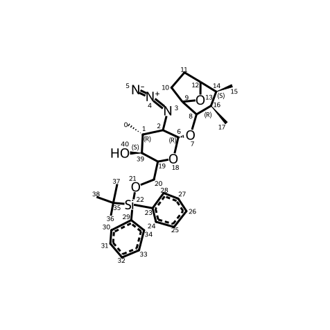 C[C@@H]1C(N=[N+]=[N-])[C@H](OC2C3CCC(O3)[C@@H](C)[C@H]2C)OC(CO[Si](c2ccccc2)(c2ccccc2)C(C)(C)C)[C@H]1O